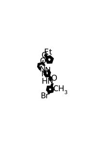 CCOc1ccccc1O[C@@H]1CCCN(c2ncc(C(=O)NCc3ccc(Br)cc3C)cn2)C1